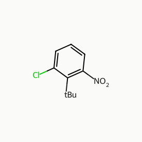 CC(C)(C)c1c(Cl)cccc1[N+](=O)[O-]